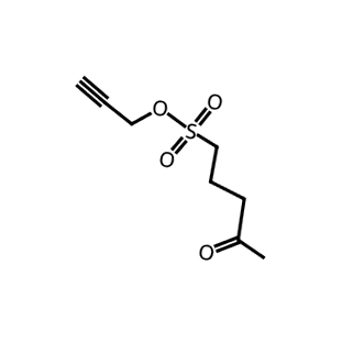 C#CCOS(=O)(=O)CCCC(C)=O